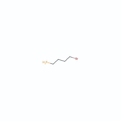 PCCCCBr